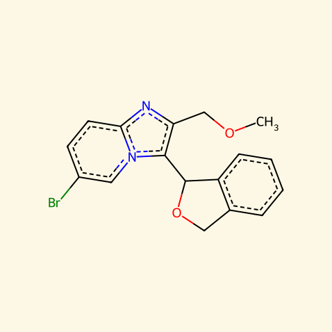 COCc1nc2ccc(Br)cn2c1C1OCc2ccccc21